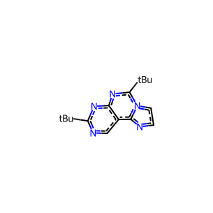 CC(C)(C)c1ncc2c(n1)nc(C(C)(C)C)n1ccnc21